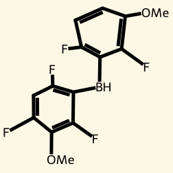 COc1ccc(F)c(Bc2c(F)cc(F)c(OC)c2F)c1F